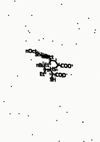 CCCCC(CC)CC(S)C(=O)[O-].CCCCC(CC)CC(S)C(=O)[O-].CCCCCCC[CH2][Sn+2][CH2]CCCCCCC